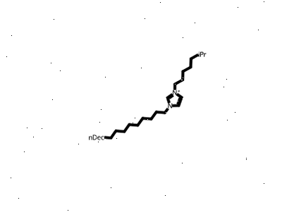 CCCCCCCCCCCCCCCCCCCn1cc[n+](CCCCCC(C)C)c1